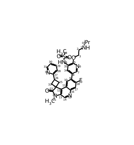 CC(C)NCCOc1ncc(-c2cc3c4c(cnc3cc2F)N(C)C(=O)C42CC(c3ccccn3)C2)cc1NS(C)(=O)=O